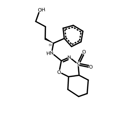 O=S1(=O)N=C(N[C@@H](CCCO)c2ccccc2)OC2CCCCC21